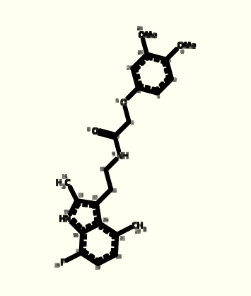 COc1ccc(OCC(=O)NCCc2c(C)[nH]c3c(F)ccc(C)c23)cc1OC